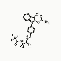 NC(=O)Oc1c(Cl)c2ccccc2n1-c1ccc(CNC(=O)C2(NC(=O)C(F)(F)F)CC2)cc1